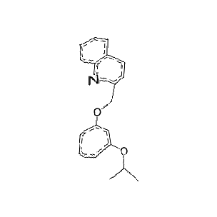 CC(C)Oc1cccc(OCc2ccc3ccccc3n2)c1